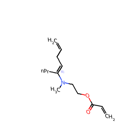 C=CC/C=C(\CCC)N(C)CCOC(=O)C=C